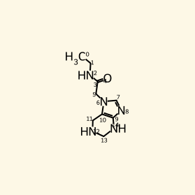 CCNC(=O)Cn1cnc2c1CNCN2